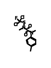 Cc1ccc(N(C)S(=O)(=O)N(C)SC(F)(Cl)Cl)cc1